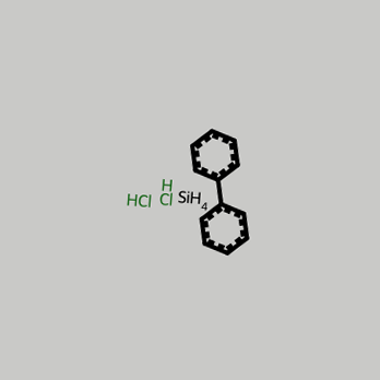 Cl.Cl.[SiH4].c1ccc(-c2ccccc2)cc1